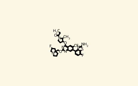 C=CC(=O)N1CCC(Oc2nc(OCC34CCCN3CC(F)C4)nc3cc(-c4ccc(F)c5sc(N)nc45)c(C(F)(F)F)cc23)C1C